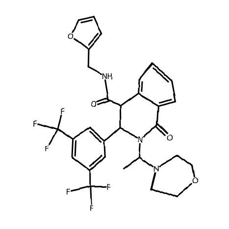 CC(N1CCOCC1)N1C(=O)c2ccccc2C(C(=O)NCc2ccco2)C1c1cc(C(F)(F)F)cc(C(F)(F)F)c1